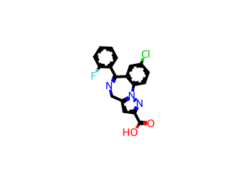 O=C(O)c1cc2n(n1)-c1ccc(Cl)cc1C(c1ccccc1F)=NC2